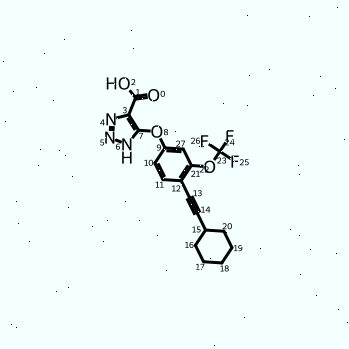 O=C(O)c1nn[nH]c1Oc1ccc(C#CC2CCCCC2)c(OC(F)(F)F)c1